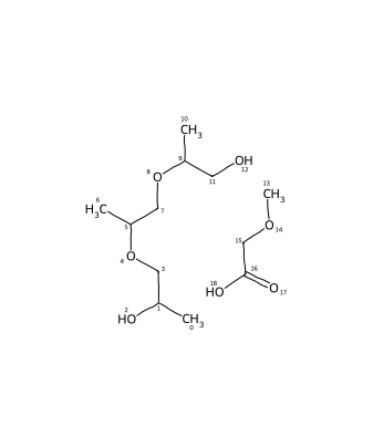 CC(O)COC(C)COC(C)CO.COCC(=O)O